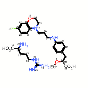 CCO[C@@H](Cc1ccc(NCCCN2CCOc3cc(F)ccc32)cc1)C(=O)O.N=C(N)NCCC[C@H](N)C(=O)O